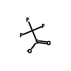 [O]S(=O)C(F)(F)F